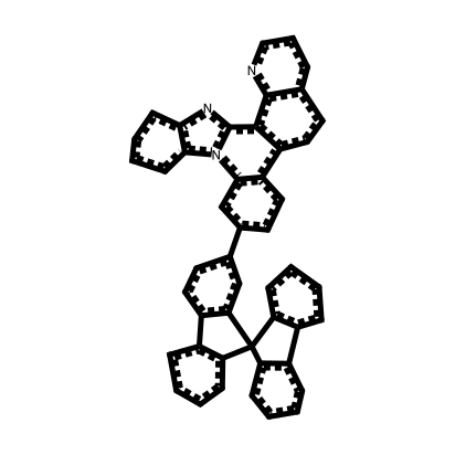 c1ccc2c(c1)-c1ccccc1C21c2ccccc2-c2ccc(-c3ccc4c5ccc6cccnc6c5c5nc6ccccc6n5c4c3)cc21